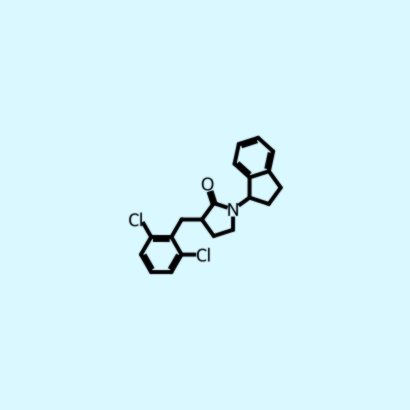 O=C1C(Cc2c(Cl)cccc2Cl)CCN1C1CCc2ccccc21